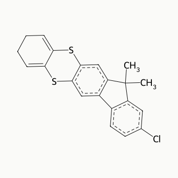 CC1(C)c2cc(Cl)ccc2-c2cc3c(cc21)SC1=CCCC=C1S3